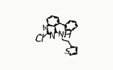 Clc1nc(NCCc2cccs2)c2c(-c3ccccc3)cccc2n1